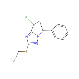 FC1CC(c2ccccc2)n2nc(SCC(F)(F)F)nc21